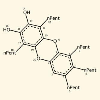 CCCCCc1cc2c(c(CCCCC)c1CCCCC)Oc1c(CCCCC)c(O)c(O)c(CCCCC)c1O2